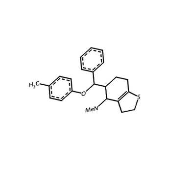 CNC1C2=C(CCC1C(Oc1ccc(C)cc1)c1ccccc1)SCC2